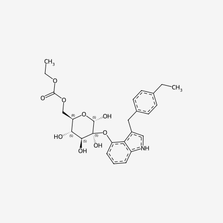 CCOC(=O)OC[C@H]1O[C@H](O)[C@@](O)(Oc2cccc3[nH]cc(Cc4ccc(CC)cc4)c23)[C@@H](O)[C@@H]1O